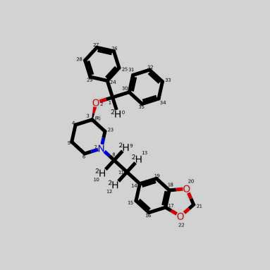 [2H]C(O[C@@H]1CCCN(C([2H])([2H])C([2H])([2H])c2ccc3c(c2)OCO3)C1)(c1ccccc1)c1ccccc1